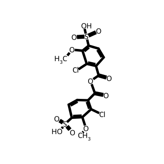 COc1c(S(=O)(=O)O)ccc(C(=O)OC(=O)c2ccc(S(=O)(=O)O)c(OC)c2Cl)c1Cl